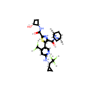 O=C(N[C@@H]1CC[C@H]1O)c1nc(C(=O)N2[C@H]3CC[C@H]2CC3)c(-c2cnc(N[C@@H](C3CC3)C(F)(F)F)cc2C(F)F)s1